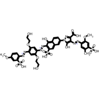 COc1ccc(/N=N/c2cc(OCCO)c(/N=N/c3c(S(=O)(=O)O)cc4cc(-n5nc(C(=O)O)c(/N=N/c6cc(C)c(S(=O)(=O)O)cc6OC)c5O)ccc4c3O)cc2OCCO)c(S(=O)(=O)O)c1